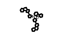 c1cc(-c2ccc3ccc4ccccc4c3c2)cc(N(c2ccc(-c3ccc4ccc5ccccc5c4c3)cc2)c2cccc3c2oc2ccccc23)c1